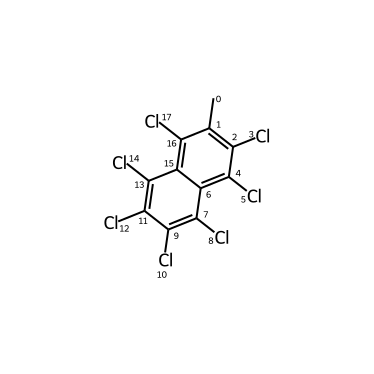 Cc1c(Cl)c(Cl)c2c(Cl)c(Cl)c(Cl)c(Cl)c2c1Cl